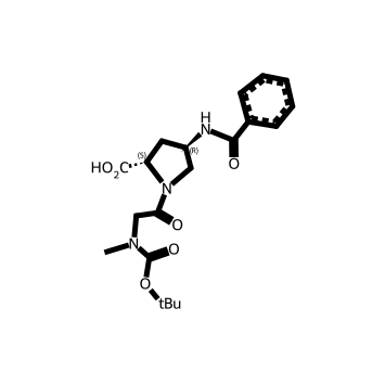 CN(CC(=O)N1C[C@H](NC(=O)c2ccccc2)C[C@H]1C(=O)O)C(=O)OC(C)(C)C